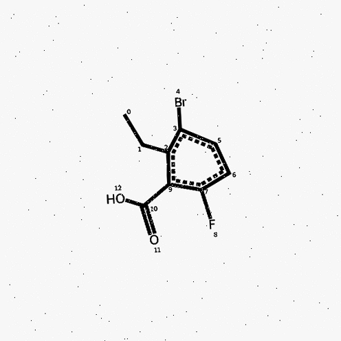 CCc1c(Br)ccc(F)c1C(=O)O